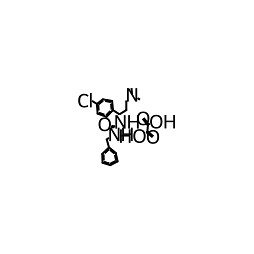 CN(C)CCC(NC(=O)NCc1ccccc1)c1ccc(Cl)cc1.O=C(O)C(=O)O